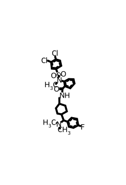 CN(C)C(c1ccc(F)cc1)C1CCC(CNC(=O)c2ccccc2N(C)S(=O)(=O)c2ccc(Cl)c(Cl)c2)CC1